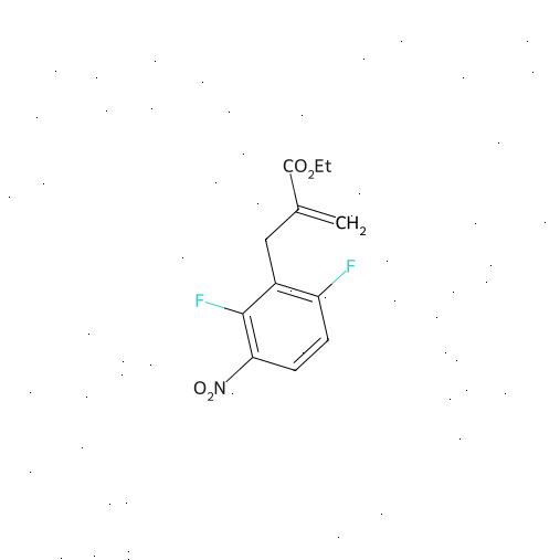 C=C(Cc1c(F)ccc([N+](=O)[O-])c1F)C(=O)OCC